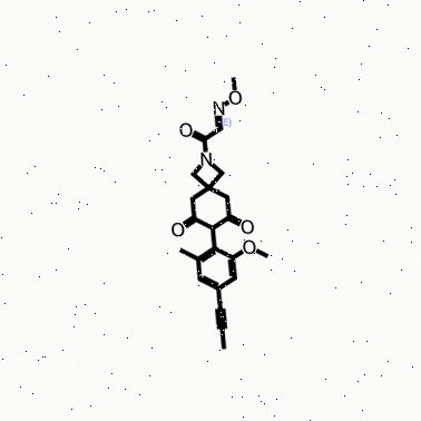 CC#Cc1cc(C)c(C2C(=O)CC3(CC2=O)CN(C(=O)/C=N/OC)C3)c(OC)c1